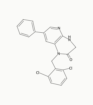 O=C1CNc2ncc(-c3ccccc3)cc2N1Cc1c(Cl)cccc1Cl